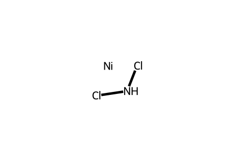 ClNCl.[Ni]